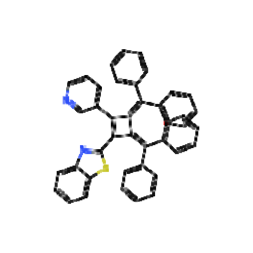 c1ccc(C(=C2C(=C(c3ccccc3)c3ccccc3)C(c3nc4ccccc4s3)=C2c2cccnc2)c2ccccc2)cc1